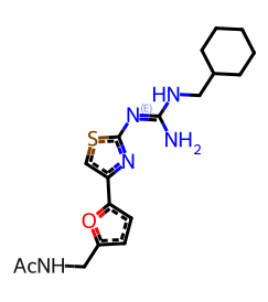 CC(=O)NCc1ccc(-c2csc(/N=C(\N)NCC3CCCCC3)n2)o1